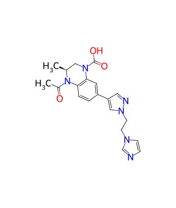 CC(=O)N1c2ccc(-c3cnn(CCn4ccnc4)c3)cc2N(C(=O)O)C[C@@H]1C